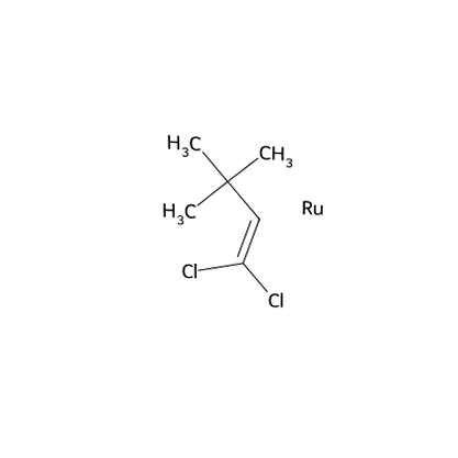 CC(C)(C)C=C(Cl)Cl.[Ru]